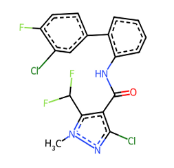 Cn1nc(Cl)c(C(=O)Nc2ccccc2-c2ccc(F)c(Cl)c2)c1C(F)F